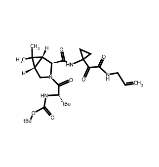 C=CCNC(=O)C(=O)C1(NC(=O)[C@@H]2[C@@H]3[C@H](CN2C(=O)[C@@H](NC(=O)OC(C)(C)C)C(C)(C)C)C3(C)C)CC1